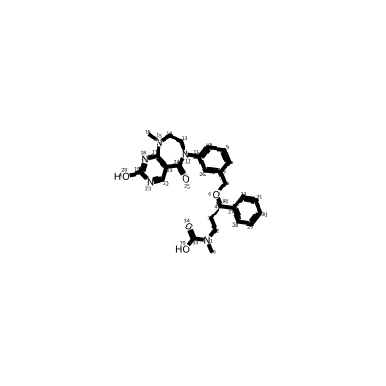 CN(CC[C@@H](OCc1cccc(N2CCN(C)c3nc(O)ncc3C2=O)c1)c1ccccc1)C(=O)O